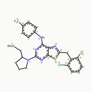 COCC1CCCN1c1nc(Nc2ccc(C(F)(F)F)cc2)c2nc(Cc3c(Cl)cccc3Cl)sc2n1